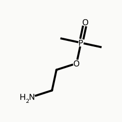 CP(C)(=O)OCCN